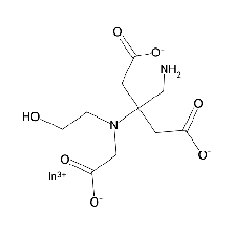 NCC(CC(=O)[O-])(CC(=O)[O-])N(CCO)CC(=O)[O-].[In+3]